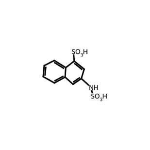 O=S(=O)(O)Nc1cc(S(=O)(=O)O)c2ccccc2c1